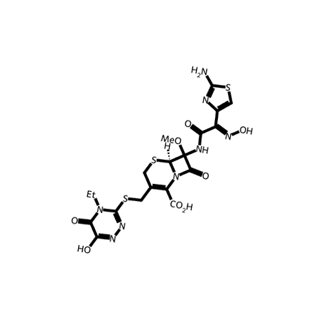 CCn1c(SCC2=C(C(=O)O)N3C(=O)C(NC(=O)C(=NO)c4csc(N)n4)(OC)[C@@H]3SC2)nnc(O)c1=O